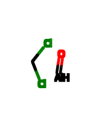 ClCCl.[O]=[AlH]